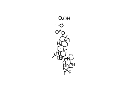 C=C(C)[C@@H]1CC[C@]2(C(=O)N3CCC[C@H]3c3ncc(C(F)(F)F)[nH]3)CC[C@]3(C)[C@H](CC[C@@H]4[C@@]5(C)CC[C@H](OC(=O)[C@H]6C[C@@H](C(=O)O)[C@H]6C)C(C)(C)[C@@H]5CC[C@]43C)[C@@H]12